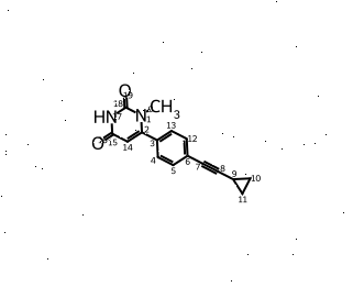 Cn1c(-c2ccc(C#CC3CC3)cc2)cc(=O)[nH]c1=O